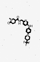 CN1CC(C(=O)NCc2ccc(Nc3ccc(N4CCC(C(F)(F)F)CC4)cc3)cn2)CCC1=O